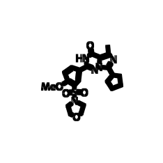 COc1ccc(-c2nn3c(C4CCCC4)nc(C)c3c(=O)[nH]2)cc1S(=O)(=O)N1CCOCC1